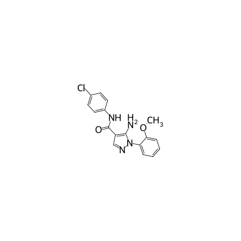 COc1ccccc1-n1ncc(C(=O)Nc2ccc(Cl)cc2)c1N